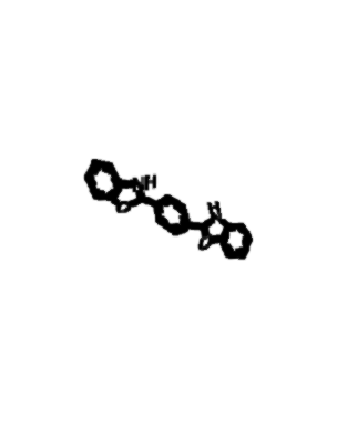 c1ccc2c(c1)NC(c1ccc(C3Nc4ccccc4O3)cc1)O2